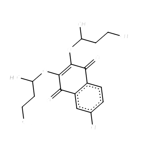 CCCC(C)OC1=C(OC(C)CCC)C(=O)c2cc(Cl)ccc2C1=O